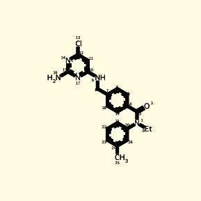 CCN(C(=O)c1ccc(CNc2cc(Cl)nc(N)n2)cc1)c1cccc(C)c1